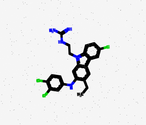 CCc1cc2c3cc(Cl)ccc3n(CCNC(=N)N)c2cc1Nc1ccc(Cl)c(Cl)c1